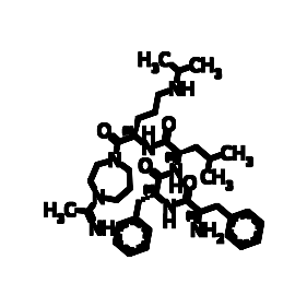 CC(=N)N1CCCN(C(=O)[C@@H](CCCNC(C)C)NC(=O)[C@@H](CC(C)C)NC(=O)[C@@H](Cc2ccccc2)NC(=O)[C@H](N)Cc2ccccc2)CC1